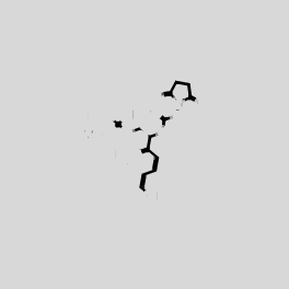 C=C(/C=C\C=C/C)[C@@H](COC(C)(C)OC)OC(=O)ON1C(=O)CCC1=O